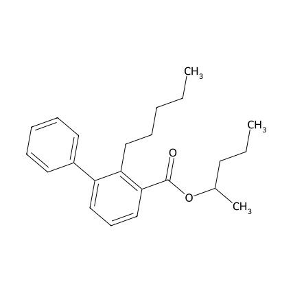 CCCCCc1c(C(=O)OC(C)CCC)cccc1-c1ccccc1